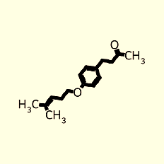 CC(=O)CCc1ccc(OCCC=C(C)C)cc1